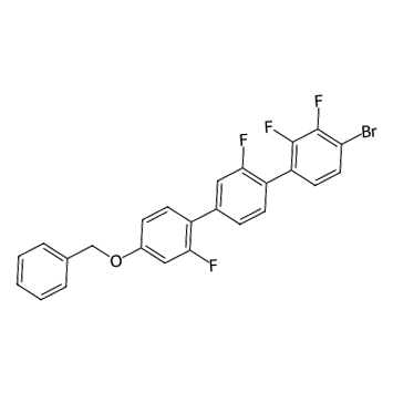 Fc1cc(OCc2ccccc2)ccc1-c1ccc(-c2ccc(Br)c(F)c2F)c(F)c1